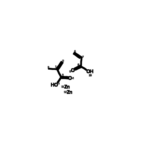 C=C(C)C(=O)O.C=CC(=O)O.[Zn].[Zn]